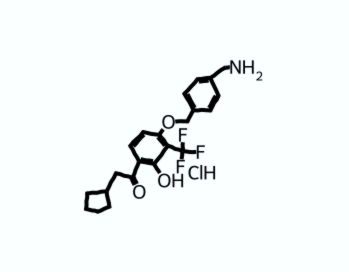 Cl.NCc1ccc(COc2ccc(C(=O)CC3CCCC3)c(O)c2C(F)(F)F)cc1